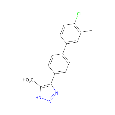 Cc1cc(-c2ccc(-c3nn[nH]c3C(=O)O)cc2)ccc1Cl